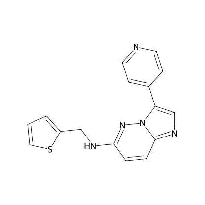 c1csc(CNc2ccc3ncc(-c4ccncc4)n3n2)c1